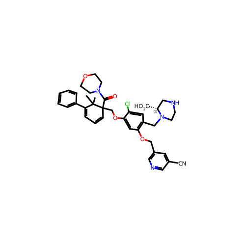 CC1(C)C(c2ccccc2)=CC=CC1(COc1cc(OCc2cncc(C#N)c2)c(CN2CCNC[C@H]2C(=O)O)cc1Cl)C(=O)N1CCOCC1